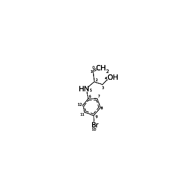 C=CC(CO)Nc1ccc(Br)cc1